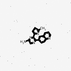 Cc1ccc(-c2nc(N)cnc2-c2ccc3ncccc3c2)s1